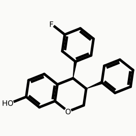 Oc1ccc2c(c1)OC[C@H](c1ccccc1)[C@@H]2c1cccc(F)c1